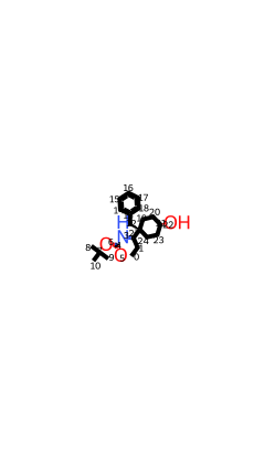 CCC(NC(=O)OC(C)(C)C)[C@]1(Cc2ccccc2)CC[C@H](O)CC1